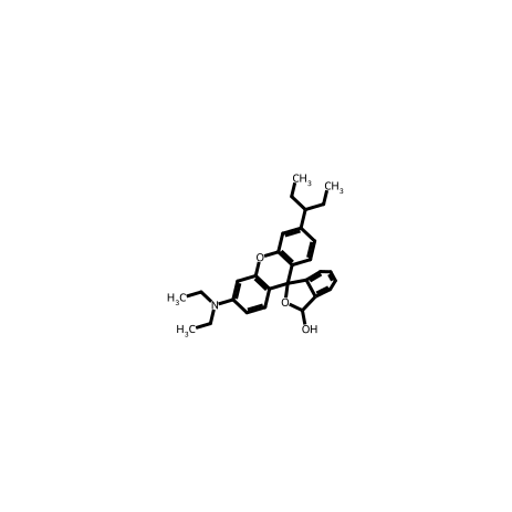 CCC(CC)c1ccc2c(c1)Oc1cc(N(CC)CC)ccc1C21OC(O)c2ccccc21